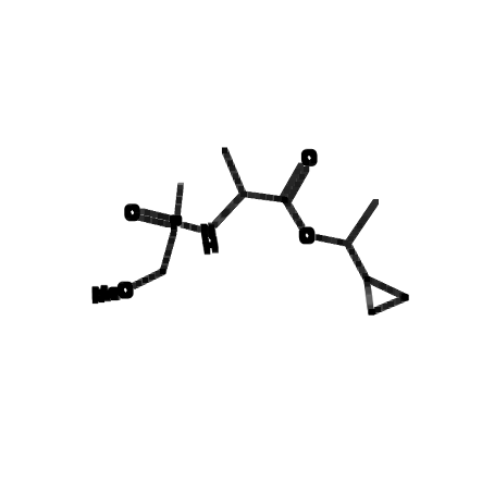 COCP(C)(=O)NC(C)C(=O)OC(C)C1CC1